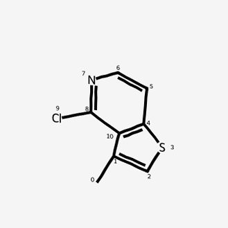 Cc1csc2ccnc(Cl)c12